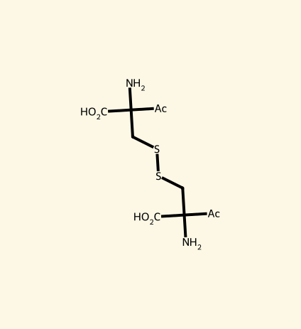 CC(=O)C(N)(CSSCC(N)(C(C)=O)C(=O)O)C(=O)O